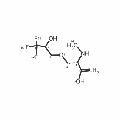 C=C(O)[C@H](COCC(O)C(F)(F)F)NC